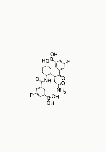 NC(=O)CC(C(=O)c1cc(F)cc(B(O)O)c1)C1CCCCC1NC(=O)c1cc(F)cc(B(O)O)c1